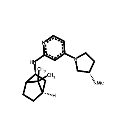 CN[C@H]1CCN(c2ccnc(N[C@H]3C[C@H]4CCC3C4(C)C)c2)C1